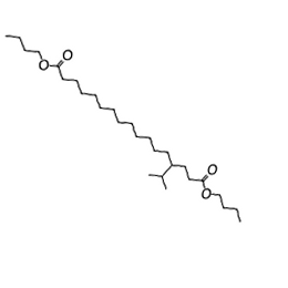 CCCCOC(=O)CCCCCCCCCCCCC(CCC(=O)OCCCC)C(C)C